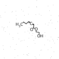 CCCC=C=CC(=O)OCCO